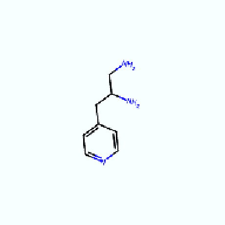 NCC(N)Cc1ccncc1